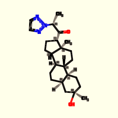 C[C@H](C(=O)[C@H]1CC[C@H]2[C@@H]3CC[C@@H]4C[C@](C)(O)CC[C@@H]4[C@H]3CC[C@]12C)n1nccn1